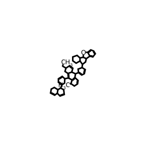 CCC1C=CC2C(=C(C3C=CC=C(C4CC=CC5C=CCCC54)C3)C3=C(C=CCC3C)C2C2=CC=CC(C3CC4c5ccccc5OC4C4CCCCC34)C2)C1